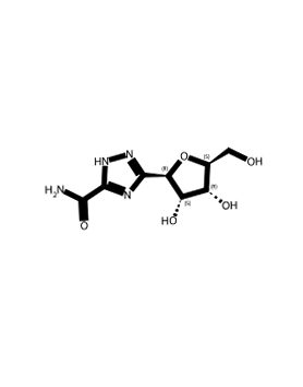 NC(=O)c1nc([C@H]2O[C@@H](CO)[C@H](O)[C@@H]2O)n[nH]1